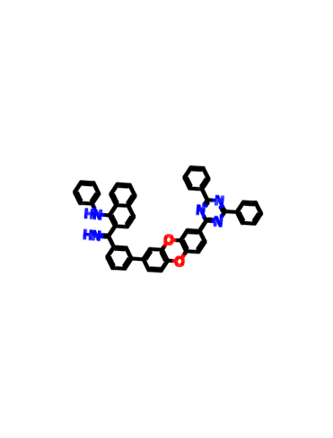 N=C(c1cccc(-c2ccc3c(c2)Oc2cc(-c4nc(-c5ccccc5)nc(-c5ccccc5)n4)ccc2O3)c1)c1ccc2ccccc2c1Nc1ccccc1